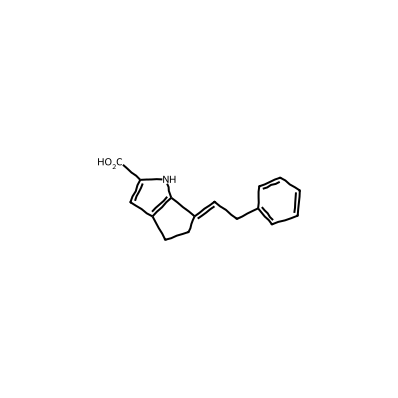 O=C(O)c1cc2c([nH]1)C(=CCc1ccccc1)CC2